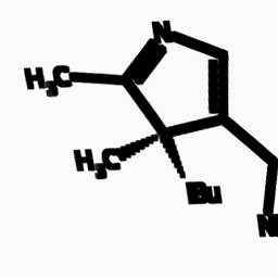 CC[C@@H](C)[C@]1(C)C(CN)=CN=C1C